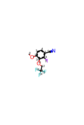 COc1ccc(C#N)c(I)c1OCC(F)(F)F